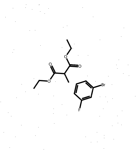 CCOC(=O)C(C)C(=O)OCC.Fc1cccc(Br)c1